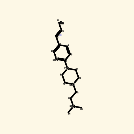 CCCC/C=C/c1ccc(N2CCN(CCN(C)C)CC2)nc1